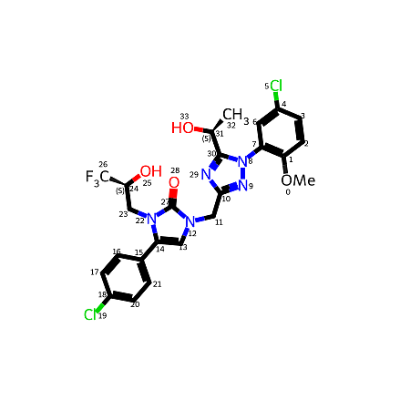 COc1ccc(Cl)cc1-n1nc(Cn2cc(-c3ccc(Cl)cc3)n(C[C@H](O)C(F)(F)F)c2=O)nc1[C@H](C)O